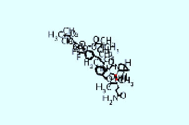 CCCC[C@H](NC(=O)/C=C(\C)c1ccc(C(F)(F)P(=O)(OCOC(=O)C(C)(C)C)OCOC(=O)C(C)(C)C)cc1)C(=O)N1C[C@H]2C[C@H]2[C@H]1C(=O)N[C@@H](CCC(N)=O)[C@@H](C)OCc1ccc(C)cc1